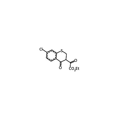 CCOC(=O)C(=O)C1CSc2cc(Cl)ccc2C1=O